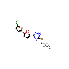 O=C(O)CSc1nnc(-c2ccc(-c3ccc(Cl)s3)o2)[nH]1